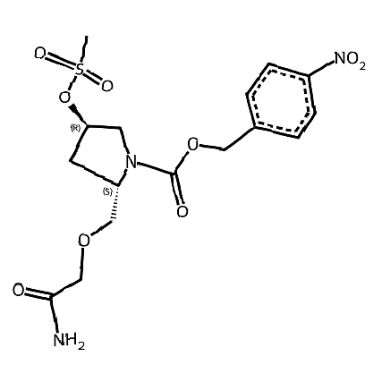 CS(=O)(=O)O[C@@H]1C[C@@H](COCC(N)=O)N(C(=O)OCc2ccc([N+](=O)[O-])cc2)C1